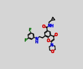 O=C(NCC1CC1)c1cc(CCNc2cc(F)cc(F)c2)c2oc(N3CCOCC3)cc(=O)c2c1